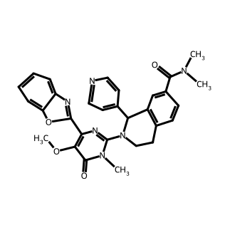 COc1c(-c2nc3ccccc3o2)nc(N2CCc3ccc(C(=O)N(C)C)cc3C2c2ccncc2)n(C)c1=O